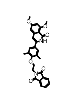 COc1cc(OC)c2c(=O)[nH]c(-c3cc(C)c(OCCN4C(=O)c5ccccc5C4=O)c(C)c3)cc2c1